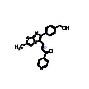 Cc1cn2c(/C=C/C(=O)c3ccncc3)c(-c3ccc(CO)cc3)nc2s1